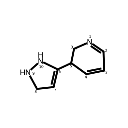 [CH]1N=CC=CC1C1=CCNN1